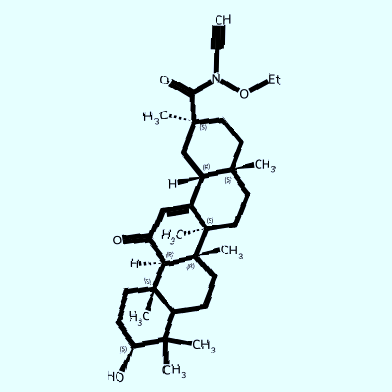 C#CN(OCC)C(=O)[C@@]1(C)CC[C@]2(C)CC[C@]3(C)C(=CC(=O)[C@@H]4[C@@]5(C)CC[C@H](O)C(C)(C)C5CC[C@]43C)[C@@H]2C1